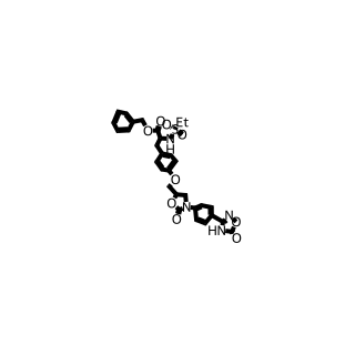 CCS(=O)(=O)NC(Cc1ccc(OCC2CN(c3ccc(-c4noc(=O)[nH]4)cc3)C(=O)O2)cc1)C(=O)OCc1ccccc1